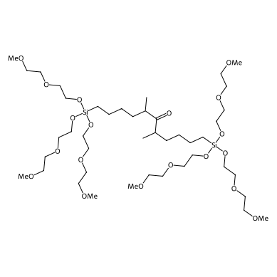 COCCOCCO[Si](CCCCC(C)C(=O)C(C)CCCC[Si](OCCOCCOC)(OCCOCCOC)OCCOCCOC)(OCCOCCOC)OCCOCCOC